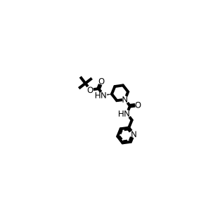 CC(C)(C)OC(=O)N[C@@H]1CCCN(C(=O)NCc2ccccn2)C1